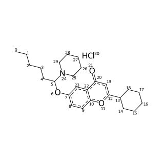 CCCCCC(Oc1ccc2oc(C3CCCCC3)cc(=O)c2c1)N1CCCCC1.Cl